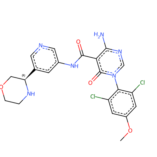 COc1cc(Cl)c(-n2cnc(N)c(C(=O)Nc3cncc([C@@H]4COCCN4)c3)c2=O)c(Cl)c1